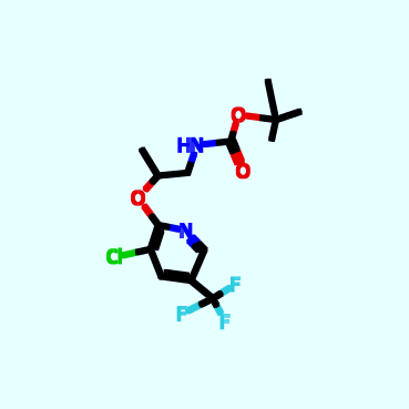 CC(CNC(=O)OC(C)(C)C)Oc1ncc(C(F)(F)F)cc1Cl